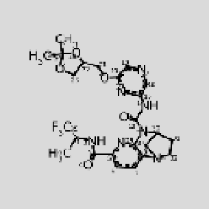 C[C@@H](NC(=O)c1ccc2c(n1)N(C(=O)Nc1cncc(OC[C@H]3COC(C)(C)O3)n1)C1CCN2C1)C(F)(F)F